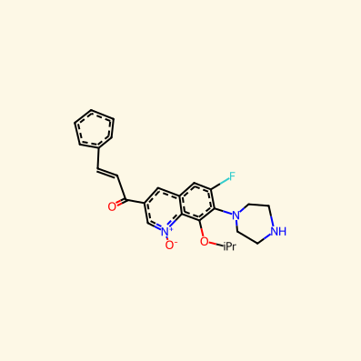 CC(C)Oc1c(N2CCNCC2)c(F)cc2cc(C(=O)C=Cc3ccccc3)c[n+]([O-])c12